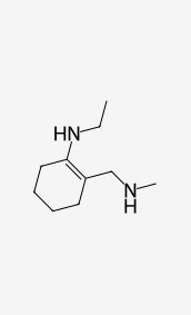 CCNC1=C(CNC)CCCC1